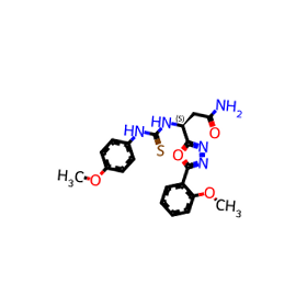 COc1ccc(NC(=S)N[C@@H](CC(N)=O)c2nnc(-c3ccccc3OC)o2)cc1